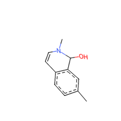 Cc1ccc2c(c1)C(O)N(C)C=C2